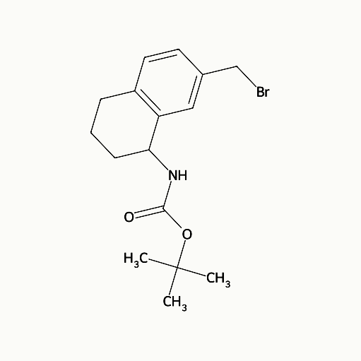 CC(C)(C)OC(=O)NC1CCCc2ccc(CBr)cc21